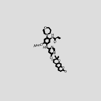 C=CC(=O)Nc1cc(Nc2cc(O[C@H]3Cc4cc5ccc(=O)oc5cc4OC3(C)C)ncn2)c(OC)cc1N1C=COCCC1